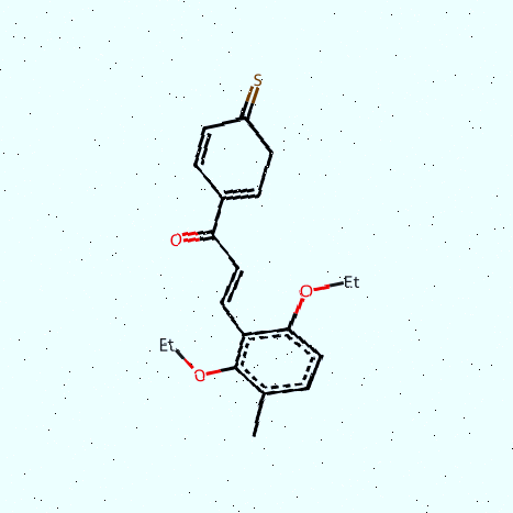 CCOc1ccc(C)c(OCC)c1C=CC(=O)C1=CCC(=S)C=C1